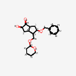 O=C1CC2C(CC(OCc3ccccc3)C2COC2CCCCO2)C1=O